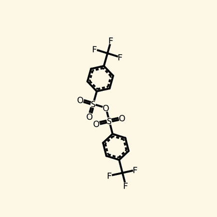 O=S(=O)(OS(=O)(=O)c1ccc(C(F)(F)F)cc1)c1ccc(C(F)(F)F)cc1